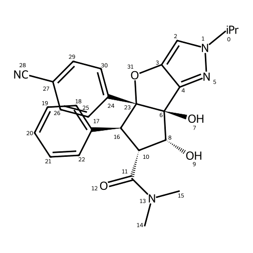 CC(C)n1cc2c(n1)[C@]1(O)[C@H](O)[C@H](C(=O)N(C)C)[C@@H](c3ccccc3)[C@]1(c1ccc(C#N)cc1)O2